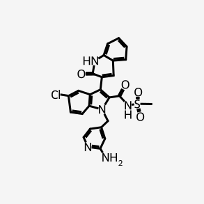 CS(=O)(=O)NC(=O)c1c(-c2cc3ccccc3[nH]c2=O)c2cc(Cl)ccc2n1Cc1ccnc(N)c1